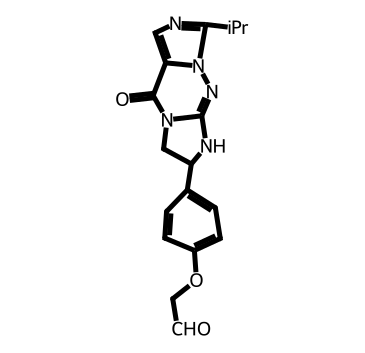 CC(C)c1ncc2c(=O)n3c(nn12)NC(c1ccc(OCC=O)cc1)C3